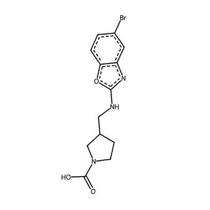 O=C(O)N1CCC(CNc2nc3cc(Br)ccc3o2)C1